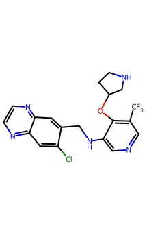 FC(F)(F)c1cncc(NCc2cc3nccnc3cc2Cl)c1OC1CCNC1